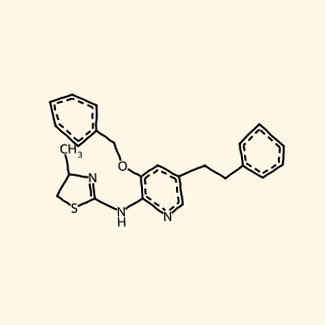 CC1CSC(Nc2ncc(CCc3ccccc3)cc2OCc2ccccc2)=N1